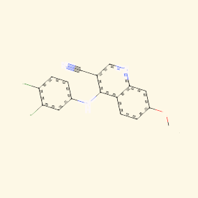 COc1ccc2c(Nc3ccc(Cl)c(Cl)c3)c(C#N)cnc2c1